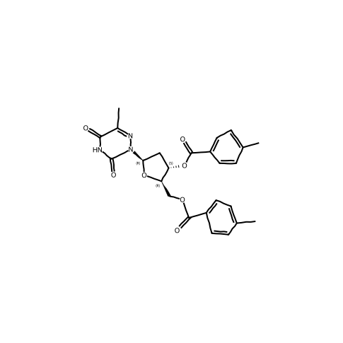 Cc1ccc(C(=O)OC[C@H]2O[C@@H](n3nc(C)c(=O)[nH]c3=O)C[C@@H]2OC(=O)c2ccc(C)cc2)cc1